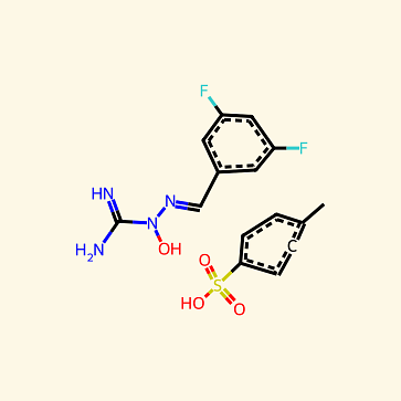 Cc1ccc(S(=O)(=O)O)cc1.N=C(N)N(O)/N=C/c1cc(F)cc(F)c1